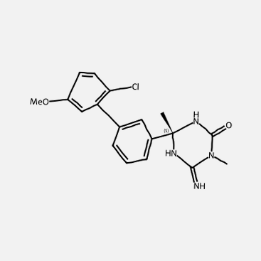 COc1ccc(Cl)c(-c2cccc([C@@]3(C)NC(=N)N(C)C(=O)N3)c2)c1